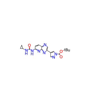 CC(C)(C)OC(=O)n1cc(-c2cnc3ccc(NC(=O)NC4CC4)nc3n2)cn1